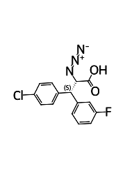 [N-]=[N+]=NC(C(=O)O)[C@@H](c1ccc(Cl)cc1)c1cccc(F)c1